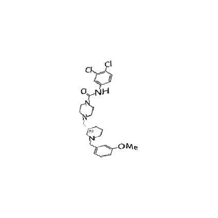 COc1cccc(CN2CCC[C@@H](CN3CCN(C(=O)Nc4ccc(Cl)c(Cl)c4)CC3)C2)c1